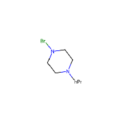 CCCN1CCN(Br)CC1